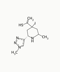 C=C(S)C1(I)CC(C)N[C@H](c2cn(C)nn2)C1